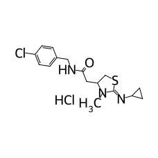 CN1/C(=N/C2CC2)SCC1CC(=O)NCc1ccc(Cl)cc1.Cl